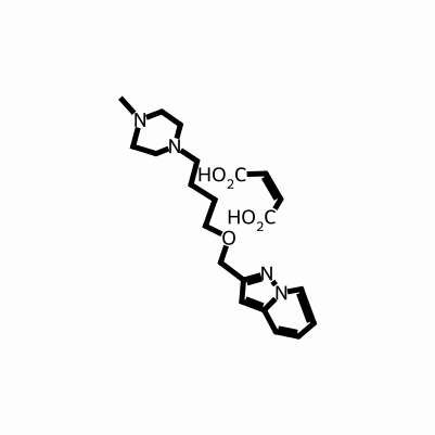 CN1CCN(CCCCOCc2cc3ccccn3n2)CC1.O=C(O)/C=C\C(=O)O